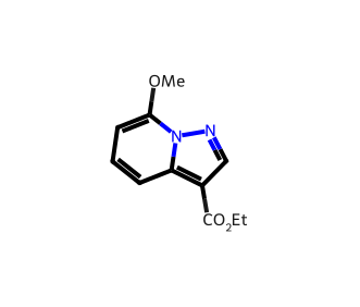 CCOC(=O)c1cnn2c(OC)cccc12